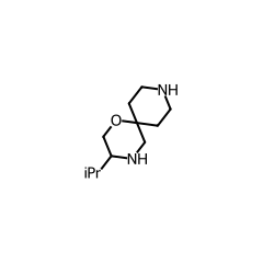 CC(C)C1COC2(CCNCC2)CN1